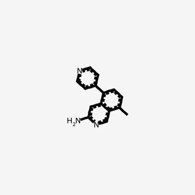 Cc1ccc(-c2ccncc2)c2cc(N)ncc12